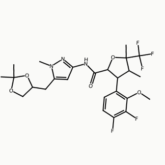 COc1c(C2C(C(=O)Nc3cc(CC4COC(C)(C)O4)n(C)n3)OC(C)(C(F)(F)F)C2C)ccc(F)c1F